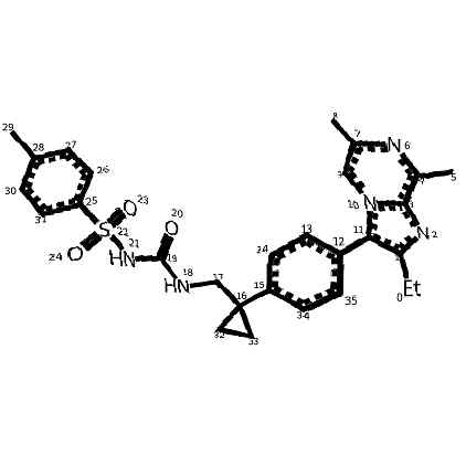 CCc1nc2c(C)nc(C)cn2c1-c1ccc(C2(CNC(=O)NS(=O)(=O)c3ccc(C)cc3)CC2)cc1